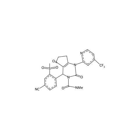 CNC(=O)N1C(=O)N(c2cc(C(F)(F)F)ccn2)C2=C(C(=O)CC2)C1c1ccc(C#N)cc1S(C)(=O)=O